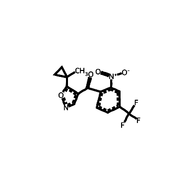 CC1(c2oncc2C(=O)c2ccc(C(F)(F)F)cc2[N+](=O)[O-])CC1